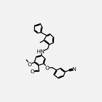 COc1cc(NCc2cccc(-c3ccccc3)c2C)cc(OCc2cccc(C#N)c2)c1C=O